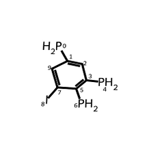 Pc1cc(P)c(P)c(I)c1